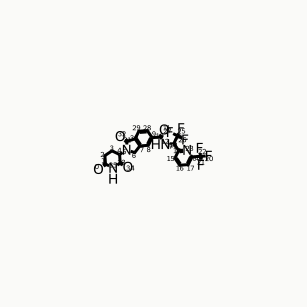 O=C1CCC(N2Cc3cc(C(=O)N[C@H](c4cccc(C(F)(F)F)n4)C(F)(F)F)ccc3C2=O)C(=O)N1